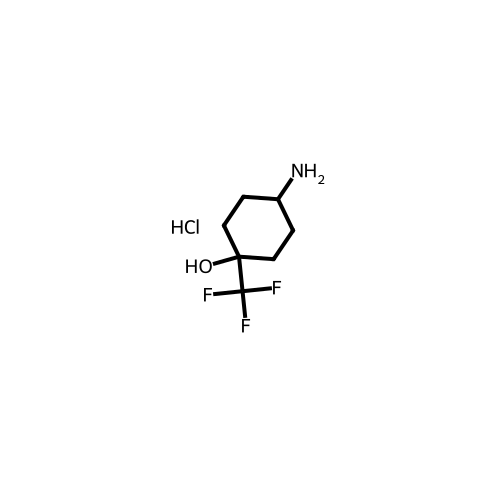 Cl.NC1CCC(O)(C(F)(F)F)CC1